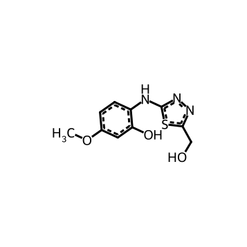 COc1ccc(Nc2nnc(CO)s2)c(O)c1